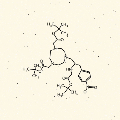 CC(C)(C)OC(=O)CNC(Cc1ccc([N+](=O)[O-])cc1)CN1CCN(CC(=O)OC(C)(C)C)CCN(CC(=O)OC(C)(C)C)CC1